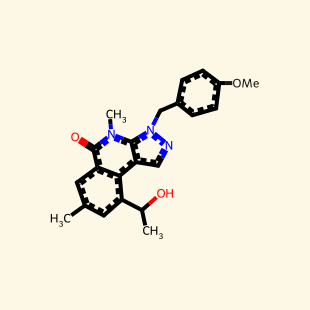 COc1ccc(Cn2ncc3c4c(C(C)O)cc(C)cc4c(=O)n(C)c32)cc1